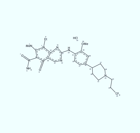 CCn1c(NC)c(C(N)=O)c(=O)c2cnc(Nc3ccc(C4CCN(CCC(F)(F)F)CC4)cc3OC)nc21.Cl